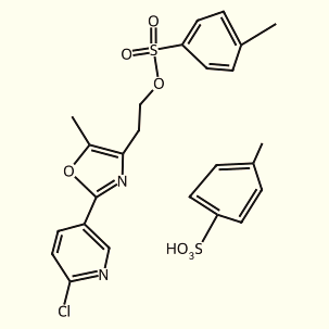 Cc1ccc(S(=O)(=O)O)cc1.Cc1ccc(S(=O)(=O)OCCc2nc(-c3ccc(Cl)nc3)oc2C)cc1